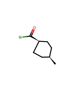 C[C@H]1CC[C@@H](C(=O)Br)CC1